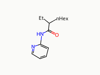 CCCCCCC(CC)C(=O)Nc1ccccn1